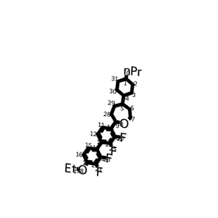 CCCC1CCC(C2CCOC(c3ccc(-c4ccc(OCC)c(F)c4F)c(F)c3F)CC2)CC1